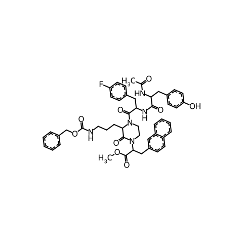 COC(=O)C(Cc1ccc2ccccc2c1)N1CCN(C(=O)C(Cc2ccc(F)cc2)NC(=O)C(Cc2ccc(O)cc2)NC(C)=O)C(CCCNC(=O)OCc2ccccc2)C1=O